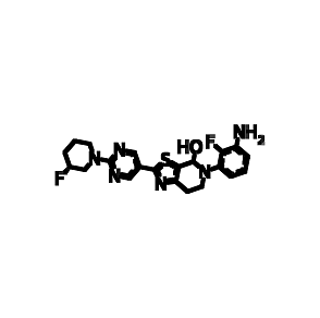 Nc1cccc(N2CCc3nc(-c4cnc(N5CCC[C@H](F)C5)nc4)sc3C2O)c1F